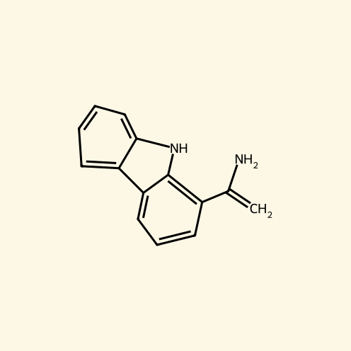 C=C(N)c1cccc2c1[nH]c1ccccc12